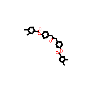 Cc1ccc(C(=O)Oc2ccc(CC(=O)Cc3ccc(OC(=O)c4ccc(C)c(C)c4)cc3)cc2)cc1C